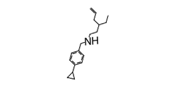 C=CCC(CC)CCNCc1ccc(C2CC2)cc1